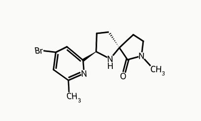 Cc1cc(Br)cc([C@H]2CC[C@@]3(CCN(C)C3=O)N2)n1